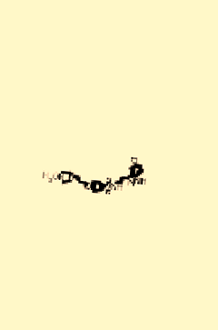 CN1CCN(CCCOc2ccc(S(=O)(=O)NCCCc3n[nH]c4ccc(Cl)cc34)cc2)CC1